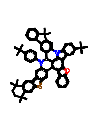 CC(C)(C)c1ccc(N2B3c4cc5c(cc4-n4c6ccc(C(C)(C)C)cc6c6c7oc8ccccc8c7c(c3c64)-c3cc4sc6cc7c(cc6c4cc32)C(C)(C)CCC7(C)C)C(C)(C)c2ccccc2-5)cc1